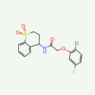 O=C(COc1cc(F)ccc1Cl)NC1CCS(=O)(=O)c2ccccc21